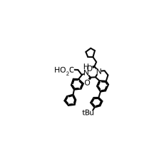 CC(C)(C)c1ccc(-c2ccc3c(c2)C(C(=O)NC(CC(=O)O)c2ccc(-c4ccccc4)cc2)N(C(=O)CC2CCCC2)CC3)cc1